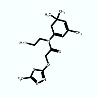 COCCN(C(=O)COc1nnc(C(F)(F)F)s1)C1=CC(C)=CC(C)(C)C1